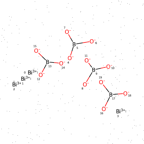 [Bi+3].[Bi+3].[Bi+3].[Bi+3].[O-]B([O-])[O-].[O-]B([O-])[O-].[O-]B([O-])[O-].[O-]B([O-])[O-]